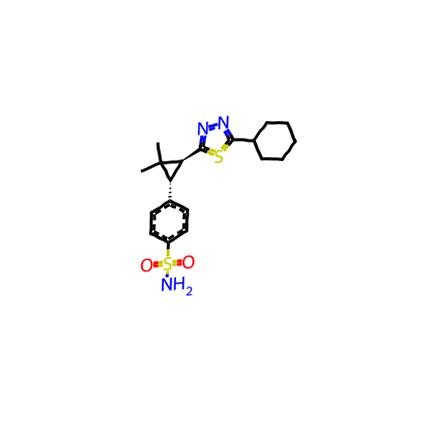 CC1(C)[C@@H](c2ccc(S(N)(=O)=O)cc2)[C@@H]1c1nnc(C2CCCCC2)s1